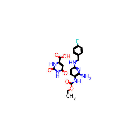 CCOC(=O)Nc1ccc(NCc2ccc(F)cc2)nc1N.O=C(O)c1cc(=O)[nH]c(=O)[nH]1